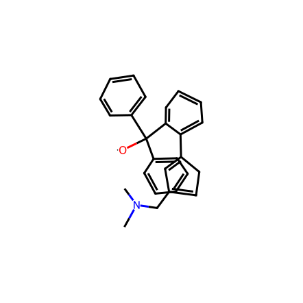 CN(C)CC1=CCC(c2ccccc2C([O])(c2ccccc2)c2ccccc2)=C1